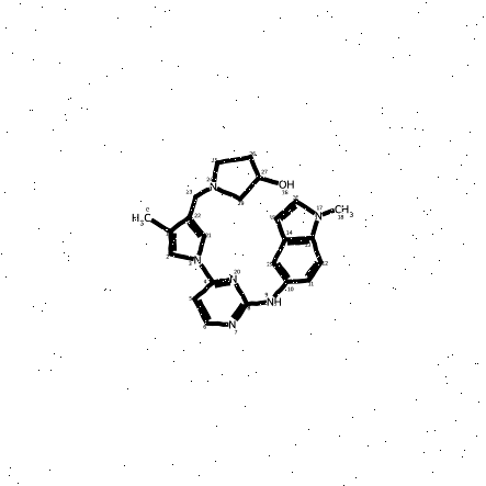 Cc1cn(-c2ccnc(Nc3ccc4c(ccn4C)c3)n2)cc1CN1CCC(O)C1